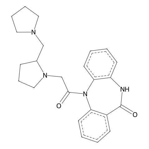 O=C1Nc2ccccc2N(C(=O)CN2CCCC2CN2CCCC2)c2ccccc21